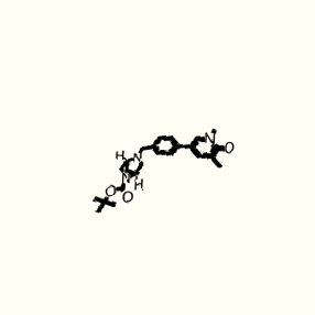 Cc1cc(-c2ccc(CN3C[C@@H]4C[C@H]3CN4C(=O)OC(C)(C)C)cc2)cn(C)c1=O